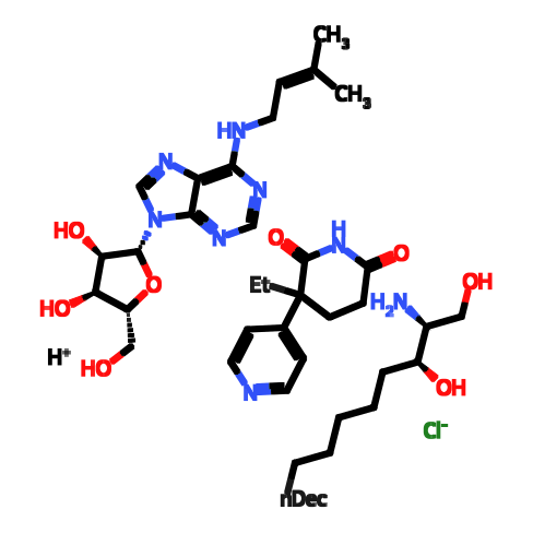 CC(C)=CCNc1ncnc2c1ncn2[C@@H]1O[C@H](CO)[C@@H](O)[C@H]1O.CCC1(c2ccncc2)CCC(=O)NC1=O.CCCCCCCCCCCCCCC[C@H](O)[C@@H](N)CO.[Cl-].[H+]